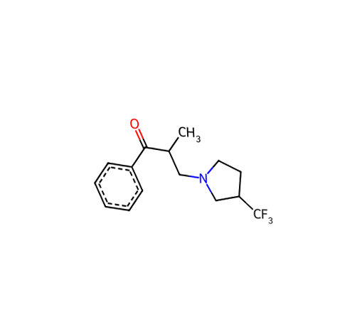 CC(CN1CCC(C(F)(F)F)C1)C(=O)c1ccccc1